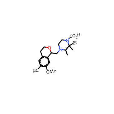 CCC1(C)C(C)N(CC2OCCc3cc(C#N)c(OC)cc32)CCN1C(=O)O